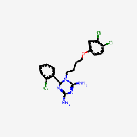 NC1=NC(c2ccccc2Cl)N(CCCCOc2ccc(Cl)c(Cl)c2)C(N)=N1